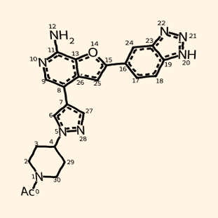 CC(=O)N1CCC(n2cc(-c3cnc(N)c4oc(-c5ccc6[nH]nnc6c5)cc34)cn2)CC1